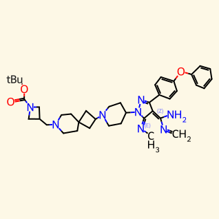 C=N/C(N)=C1/C(c2ccc(Oc3ccccc3)cc2)=NN(C2CCN(C3CC4(CCN(CC5CN(C(=O)OC(C)(C)C)C5)CC4)C3)CC2)/C1=N/C